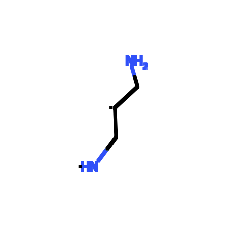 [NH]C[CH]CN